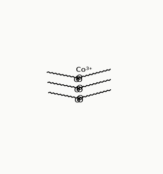 CCCCCCCCCCCCCCCCCCOP(=O)([O-])CCCCCCCCCCCCCCCCCC.CCCCCCCCCCCCCCCCCCOP(=O)([O-])CCCCCCCCCCCCCCCCCC.CCCCCCCCCCCCCCCCCCOP(=O)([O-])CCCCCCCCCCCCCCCCCC.[Co+3]